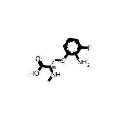 CN[C@@H](CSc1cccc(F)c1N)C(=O)O